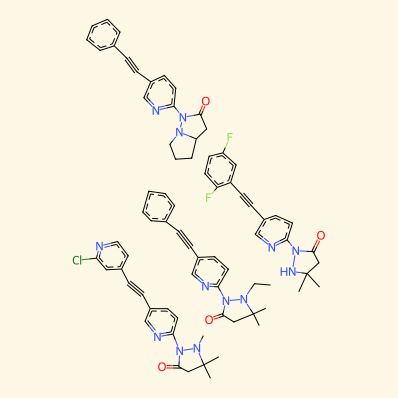 CC1(C)CC(=O)N(c2ccc(C#Cc3cc(F)ccc3F)cn2)N1.CCN1N(c2ccc(C#Cc3ccccc3)cn2)C(=O)CC1(C)C.CN1N(c2ccc(C#Cc3ccnc(Cl)c3)cn2)C(=O)CC1(C)C.O=C1CC2CCCN2N1c1ccc(C#Cc2ccccc2)cn1